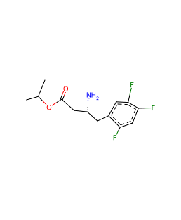 CC(C)OC(=O)C[C@H](N)Cc1cc(F)c(F)cc1F